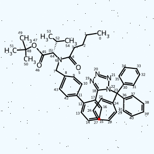 CCCCC(=O)N(Cc1ccc(-c2ccccc2-c2nnnn2C(c2ccccc2)(c2ccccc2)c2ccccc2)cc1)[C@H](C(=O)OC(C)(C)C)C(C)C